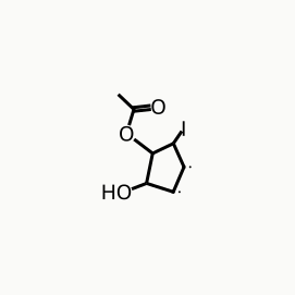 CC(=O)OC1C(O)[CH][CH]C1I